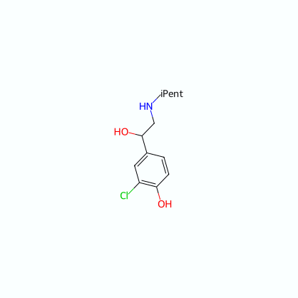 CCCC(C)NCC(O)c1ccc(O)c(Cl)c1